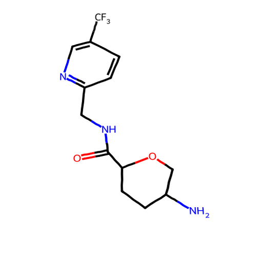 NC1CCC(C(=O)NCc2ccc(C(F)(F)F)cn2)OC1